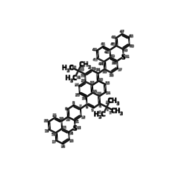 CC(C)(C)c1cc(-c2ccc3c(c2)Sc2cccc4cccc-3c24)c2ccc3c(C(C)(C)C)cc(-c4ccc5c6c(cccc46)-c4ccccc4S5)c4ccc1c2c43